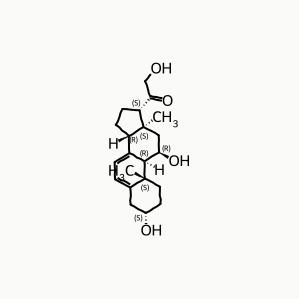 C[C@]12C[C@@H](O)[C@@H]3C(=CC=C4C[C@@H](O)CC[C@]43C)[C@@H]1CC[C@@H]2C(=O)CO